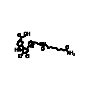 NC(=O)CCCCCCCCC(=O)NCCn1ccc(-c2cc(Cl)c(Cl)c3[nH]c4c(c23)CN(C(=O)CO)CC4)n1